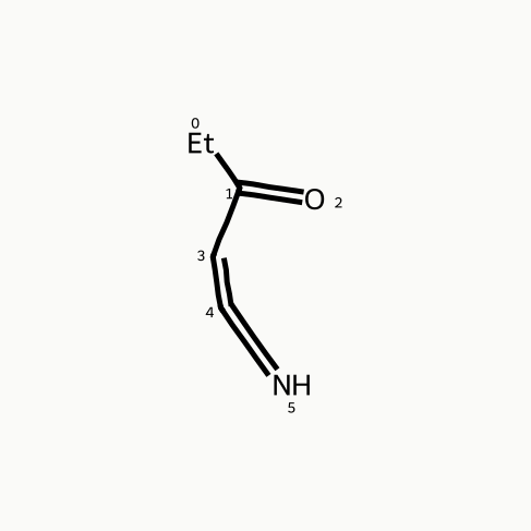 CCC(=O)C=C=N